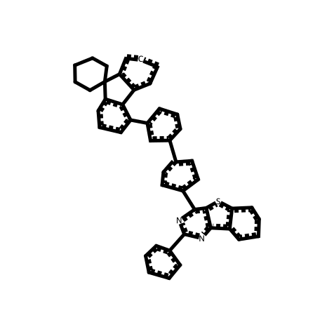 c1ccc(-c2nc(-c3ccc(-c4cccc(-c5cccc6c5-c5ccccc5C65CCCCC5)c4)cc3)c3sc4ccccc4c3n2)cc1